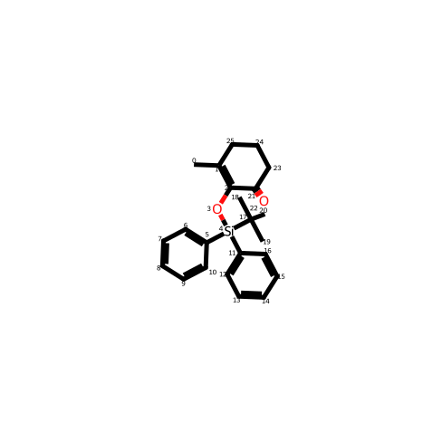 CC1=C(O[Si](c2ccccc2)(c2ccccc2)C(C)(C)C)C(=O)CCC1